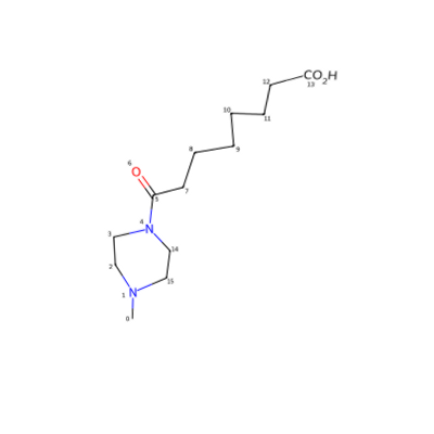 CN1CCN(C(=O)CCCCCCC(=O)O)CC1